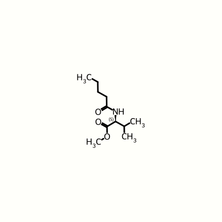 CCCCC(=O)N[C@H](C(=O)OC)C(C)C